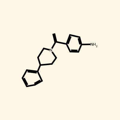 C=C(c1ccc(N)cc1)N1CCC(c2ccccc2)CC1